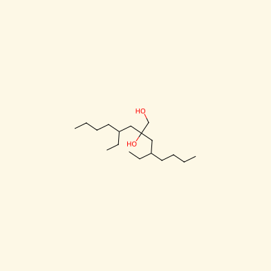 CCCCC(CC)CC(O)(CO)CC(CC)CCCC